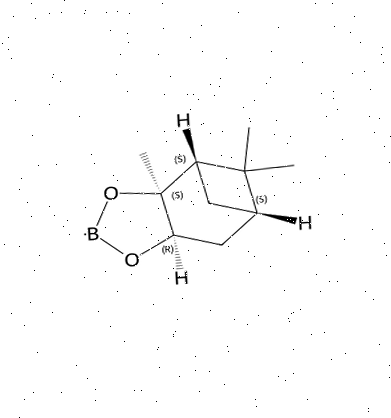 CC1(C)[C@@H]2C[C@H]3O[B]O[C@@]3(C)[C@H]1C2